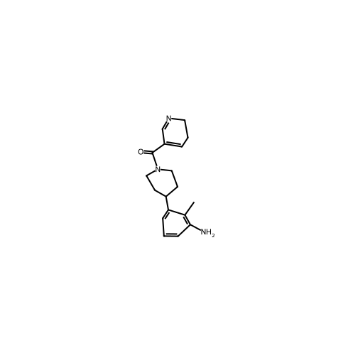 Cc1c(N)cccc1C1CCN(C(=O)C2=CCCN=C2)CC1